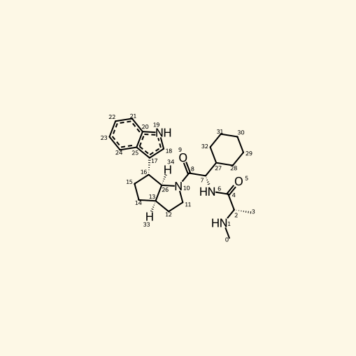 CN[C@@H](C)C(=O)N[C@H](C(=O)N1CC[C@H]2CC[C@H](c3c[nH]c4ccccc34)[C@H]21)C1CCCCC1